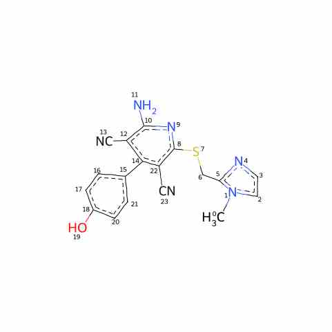 Cn1ccnc1CSc1nc(N)c(C#N)c(-c2ccc(O)cc2)c1C#N